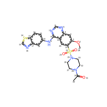 COc1cc2ncnc(Nc3ccc4scnc4c3)c2cc1S(=O)(=O)N1CCN(C(C)=O)CC1